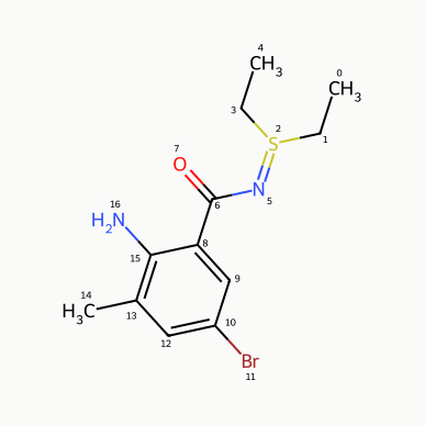 CCS(CC)=NC(=O)c1cc(Br)cc(C)c1N